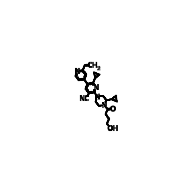 C=Cc1cc(-c2cc(C#N)c(N3CCN(C(=O)CCCO)C(C4CC4)C3)nc2C2CC2)ccn1